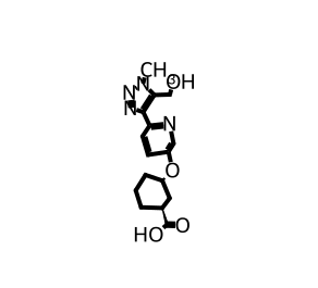 Cn1nnc(-c2ccc(O[C@H]3CCC[C@H](C(=O)O)C3)cn2)c1CO